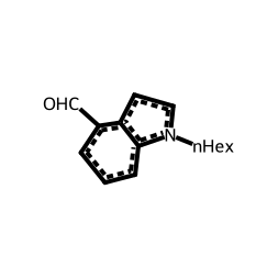 CCCCCCn1ccc2c(C=O)cccc21